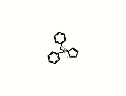 [C]1=CC=CC1=[Si](c1ccccc1)c1ccccc1